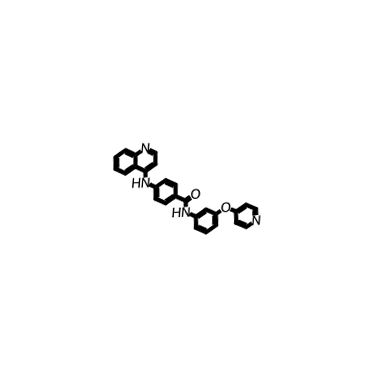 O=C(Nc1cccc(Oc2ccncc2)c1)c1ccc(Nc2ccnc3ccccc23)cc1